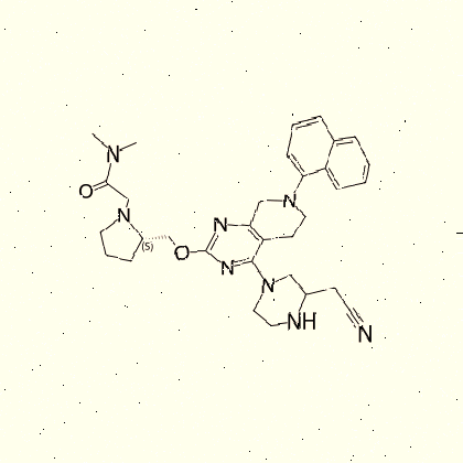 CN(C)C(=O)CN1CCC[C@H]1COc1nc2c(c(N3CCNC(CC#N)C3)n1)CCN(c1cccc3ccccc13)C2